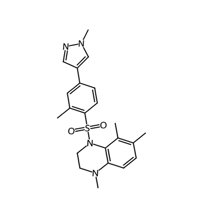 Cc1cc(-c2cnn(C)c2)ccc1S(=O)(=O)N1CCN(C)c2ccc(C)c(C)c21